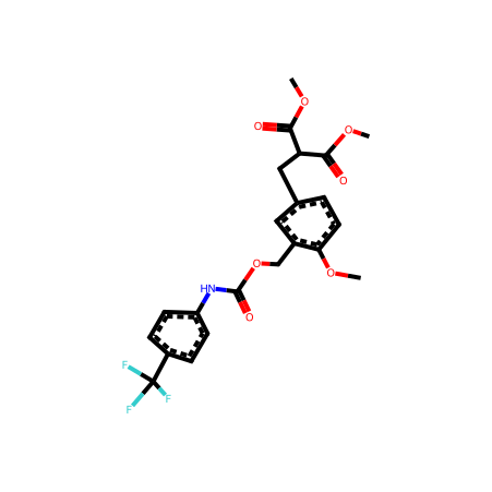 COC(=O)C(Cc1ccc(OC)c(COC(=O)Nc2ccc(C(F)(F)F)cc2)c1)C(=O)OC